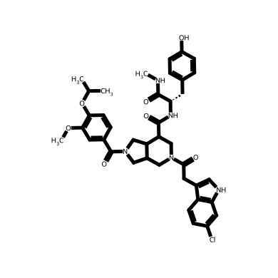 CNC(=O)[C@H](Cc1ccc(O)cc1)NC(=O)C1CN(C(=O)Cc2c[nH]c3cc(Cl)ccc23)CC2CN(C(=O)c3ccc(OC(C)C)c(OC)c3)CC21